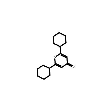 O=c1cc(C2CCCCC2)oc(C2CCCCC2)c1